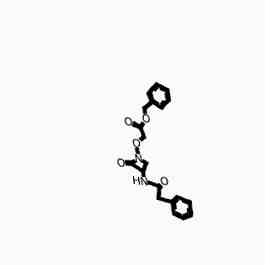 O=C(Cc1ccccc1)NC1CN(OCC(=O)OCc2ccccc2)C1=O